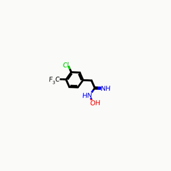 N=C(Cc1ccc(C(F)(F)F)c(Cl)c1)NO